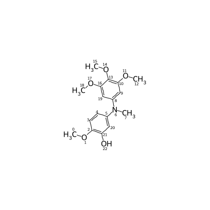 COc1ccc(N(C)c2cc(OC)c(OC)c(OC)c2)cc1O